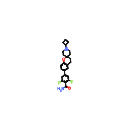 NC(=O)c1c(F)cc(-c2ccc3c(c2)CCC2(CCN(C4CCC4)CC2)O3)cc1F